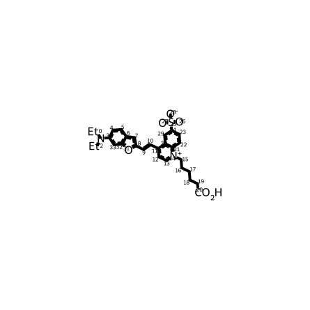 CCN(CC)c1ccc2cc(/C=C/c3cc[n+](CCCCCC(=O)O)c4ccc(S(=O)(=O)[O-])cc34)oc2c1